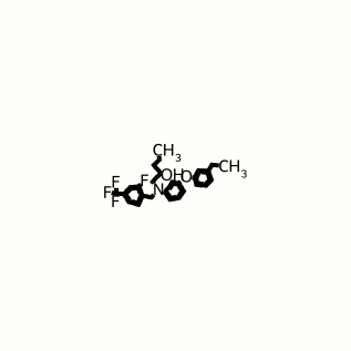 CCCC(O)CN(Cc1ccc(C(F)(F)F)cc1F)c1cccc(Oc2cccc(CC)c2)c1